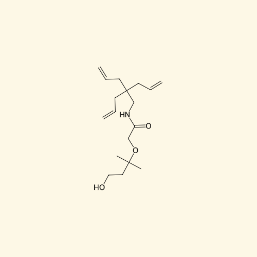 C=CCC(CC=C)(CC=C)CNC(=O)COC(C)(C)CCO